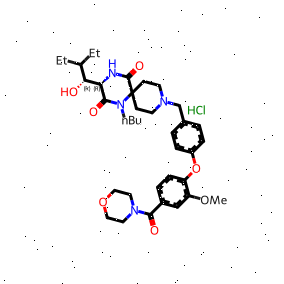 CCCCN1C(=O)[C@@H]([C@H](O)C(CC)CC)NC(=O)C12CCN(Cc1ccc(Oc3ccc(C(=O)N4CCOCC4)cc3OC)cc1)CC2.Cl